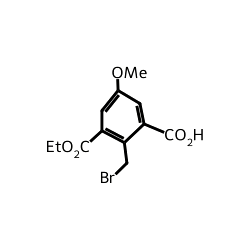 CCOC(=O)c1cc(OC)cc(C(=O)O)c1CBr